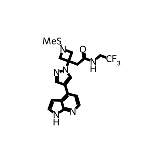 CSN1CC(CC(=O)NCC(F)(F)F)(n2cc(-c3ccnc4[nH]ccc34)cn2)C1